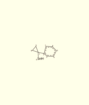 [SnH][C]1(c2ccccc2)CC1